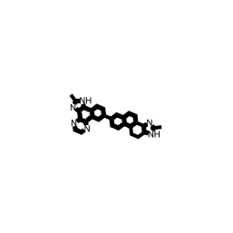 Cc1nc2c([nH]1)CCc1c-2ccc2cc(-c3ccc4c(c3)c3nccnc3c3nc(C)[nH]c43)ccc12